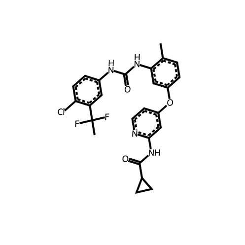 Cc1ccc(Oc2ccnc(NC(=O)C3CC3)c2)cc1NC(=O)Nc1ccc(Cl)c(C(C)(F)F)c1